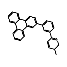 CC1C=CC(c2cccc(-c3ccc4c5ccccc5c5ccccc5c4c3)c2)=NC1